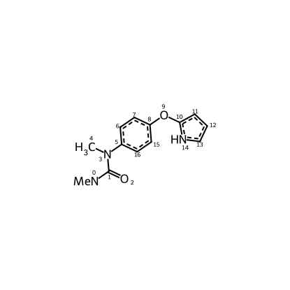 CNC(=O)N(C)c1ccc(Oc2ccc[nH]2)cc1